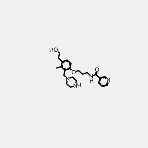 Cc1c(CCO)ccc(OCCCNC(=O)c2cccnc2)c1CN1CCNCC1